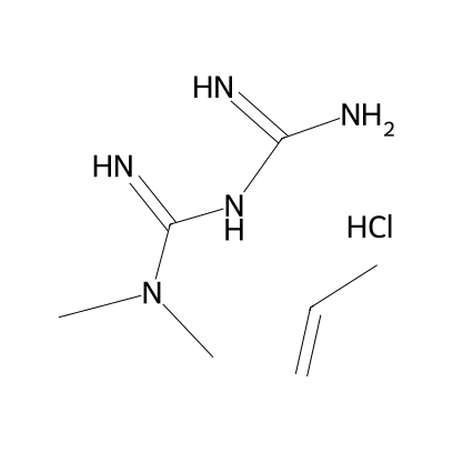 C=CC.CN(C)C(=N)NC(=N)N.Cl